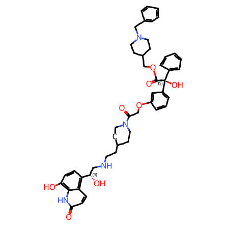 O=C(COc1cccc([C@](O)(C(=O)OCC2CCN(Cc3ccccc3)CC2)c2ccccc2)c1)N1CCC(CCNC[C@H](O)c2ccc(O)c3[nH]c(=O)ccc23)CC1